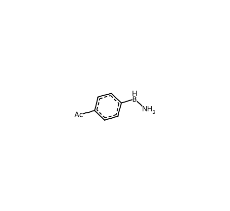 CC(=O)c1ccc(BN)cc1